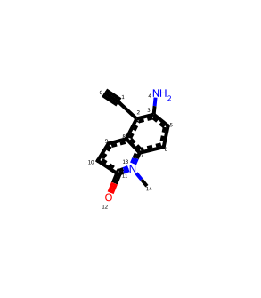 C#Cc1c(N)ccc2c1ccc(=O)n2C